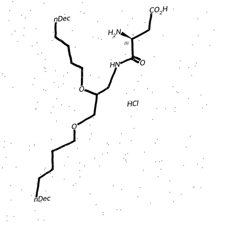 CCCCCCCCCCCCCCOCC(CNC(=O)[C@@H](N)CC(=O)O)OCCCCCCCCCCCCCC.Cl